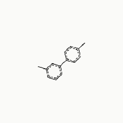 Cc1[c]c(-c2ccc(C)cc2)ccc1